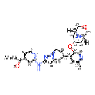 CNC(=O)c1ccnc(Nc2cc3cc(-c4cc(C)ncc4OC4C[C@H]5COC[C@@H](C4)N5C)ccn3n2)c1